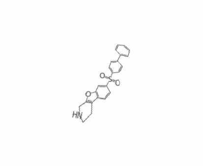 O=S(=O)(c1ccc(-c2ccccc2)cc1)c1ccc2c3c(oc2c1)CNCC3